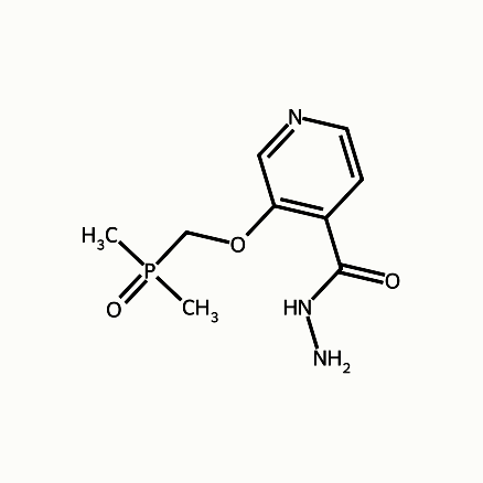 CP(C)(=O)COc1cnccc1C(=O)NN